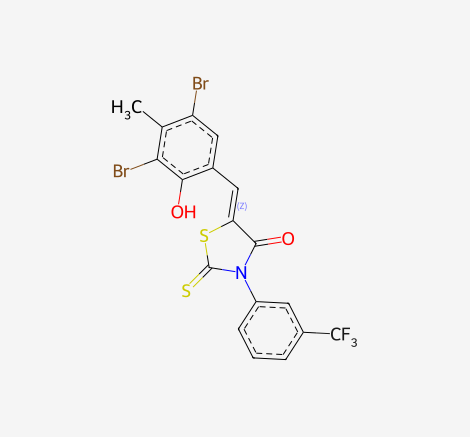 Cc1c(Br)cc(/C=C2\SC(=S)N(c3cccc(C(F)(F)F)c3)C2=O)c(O)c1Br